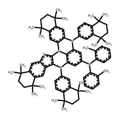 Cc1ccccc1N(c1cc2c3c(c1)N(c1ccc4c(c1)C(C)(C)CCC4(C)C)c1c(sc4cc5c(cc14)C(C)(C)CCC5(C)C)B3c1cc3c(cc1N2c1ccc2c(c1)C(C)(C)CCC2(C)C)C(C)(C)CCC3(C)C)c1ccccc1C